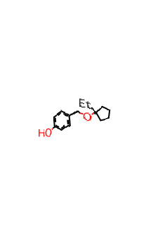 CCC1(OCc2ccc(O)cc2)CCCC1